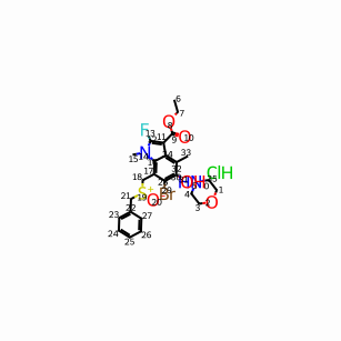 C1COCCN1.CCOC(=O)c1c(F)n(C)c2c(C[S+]([O-])Cc3ccccc3)c(Br)c(O)c(C)c12.Cl